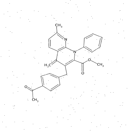 C=C1C(Cc2ccc(C(C)=O)cc2)=C(C(=O)OC)N(c2ccccc2)c2nc(C)ccc21